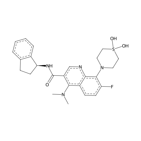 CN(C)c1c(C(=O)N[C@H]2CCc3ccccc32)cnc2c(N3CCS(O)(O)CC3)c(F)ccc12